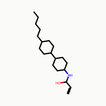 C=CC(O)NC1CCC(C2CCC(CCCCC)CC2)CC1